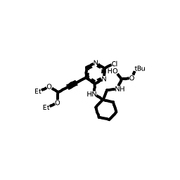 CCOC(C#Cc1cnc(Cl)nc1NC1(CNC(O)OC(C)(C)C)CCCCC1)OCC